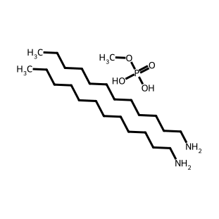 CCCCCCCCCCCCN.CCCCCCCCCCCCN.COP(=O)(O)O